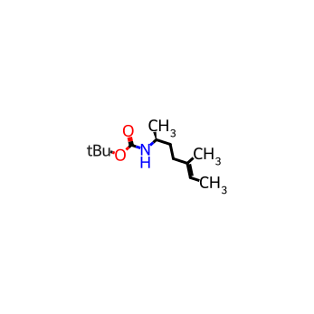 C/C=C(\C)CC[C@H](C)NC(=O)OC(C)(C)C